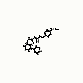 CC(=O)Nc1ccc(CCNCC2=COc3cccc(C4=CC=CCC4)c3O2)cc1